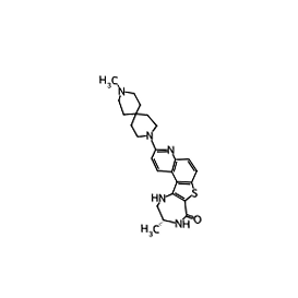 C[C@@H]1CNc2c(sc3ccc4nc(N5CCC6(CCN(C)CC6)CC5)ccc4c23)C(=O)N1